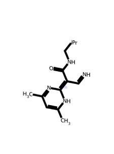 CC1=CC(C)=N/C(=C(/C=N)C(=O)NCC(C)C)N1